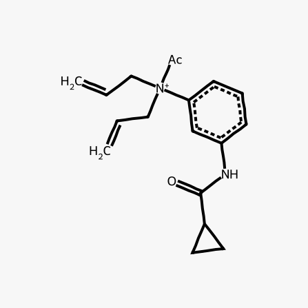 C=CC[N+](CC=C)(C(C)=O)c1cccc(NC(=O)C2CC2)c1